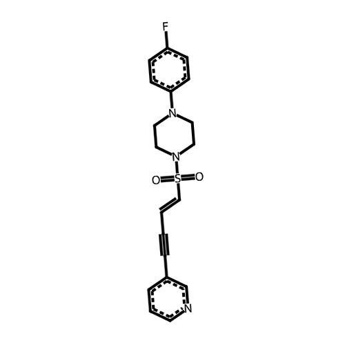 O=S(=O)(C=CC#Cc1cccnc1)N1CCN(c2ccc(F)cc2)CC1